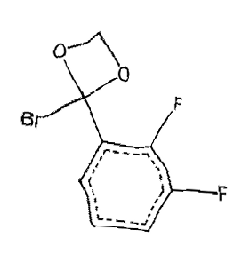 Fc1cccc(C2(Br)OCO2)c1F